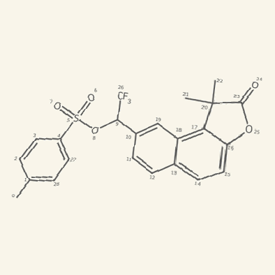 Cc1ccc(S(=O)(=O)OC(c2ccc3ccc4c(c3c2)C(C)(C)C(=O)O4)C(F)(F)F)cc1